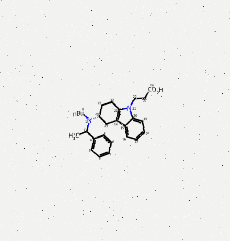 CCCCN(C(C)c1ccccc1)[C@@H]1CCc2c(c3ccccc3n2CCC(=O)O)C1